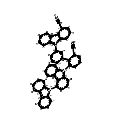 N#Cc1cccc(-n2c3ccccc3c3c(-n4c5ccccc5c5ccccc54)cccc32)c1-c1cccc(-n2c3ccccc3c3c(C#N)cccc32)c1